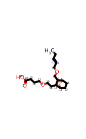 CC/C=C/COCC1C2CCC(O2)C1CCOCCCC(=O)O